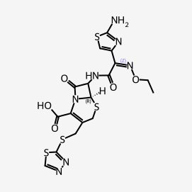 CCO/N=C(\C(=O)NC1C(=O)N2C(C(=O)O)=C(CSc3nncs3)CS[C@H]12)c1csc(N)n1